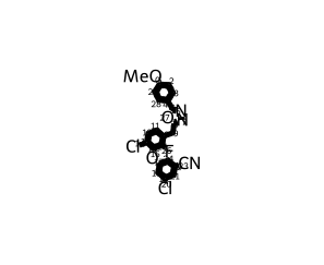 COc1ccc(-c2nnc(Cc3ccc(Cl)c(Oc4cc(Cl)cc(C#N)c4)c3F)o2)cc1